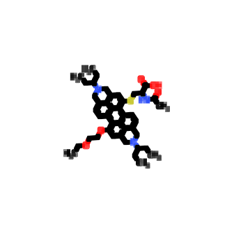 CCOCCOc1cc2c3c(ccc4c5c(SCC(NC(C)=O)C(=O)O)cc6c7c(ccc(c1c34)c75)CN(C(CC)CC)C6)CN(C(CC)CC)C2